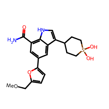 COCc1ccc(-c2cc(C(N)=O)c3[nH]cc(C4CCS(O)(O)CC4)c3c2)o1